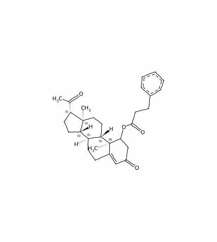 CC(=O)[C@H]1CC[C@H]2[C@@H]3CCC4=CC(=O)CC(OC(=O)CCc5ccccc5)[C@]4(C)[C@H]3CC[C@]12C